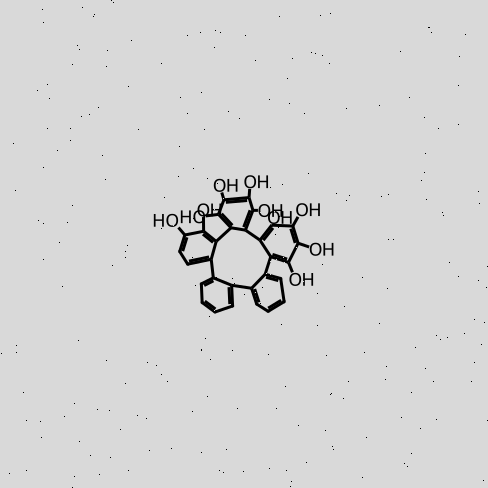 Oc1ccc2c3ccccc3c3ccccc3c3c(O)c(O)c(O)c(O)c3c3c(O)c(O)c(O)c(O)c3c2c1O